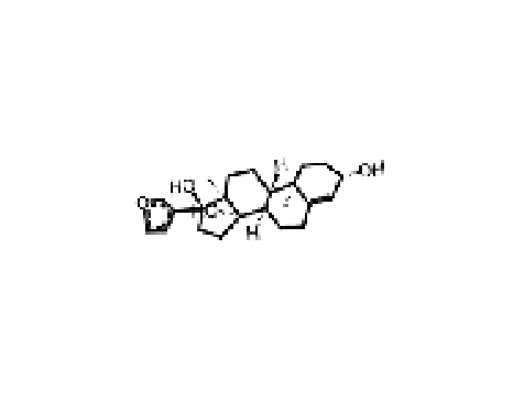 C[C@]12CC[C@H]3[C@@H](CCC4=C[C@@H](O)CC[C@@]43C)[C@@]1(O)CC[C@]2(O)c1ccoc1